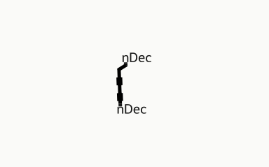 CCCCCCCCCCC#CC#CCCCCCCCCCCCC